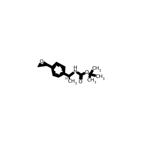 C[C@H](NC(=O)OC(C)(C)C)c1ccc(C2CO2)cc1